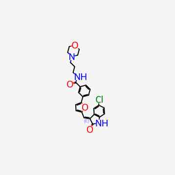 O=C1Nc2ccc(Cl)cc2/C1=C\c1ccc(-c2cccc(C(=O)NCCCN3CCOCC3)c2)o1